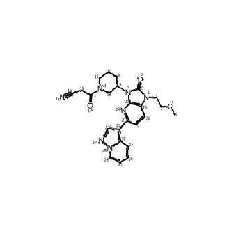 COCCn1c(=O)n(C2CCCN(C(=O)CC#N)C2)c2nc(-c3cnn4ccccc34)ccc21